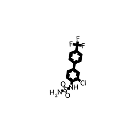 NS(=O)(=O)Nc1ccc(-c2ccc(C(F)(F)F)cc2)cc1Cl